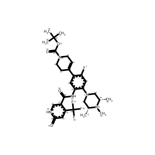 C[C@@H]1CN(c2cc(F)c(C3=CCN(C(=O)OC(C)(C)C)CC3)cc2NC(=O)c2c[nH]c(=O)cc2C(F)(F)F)C[C@H](C)N1C